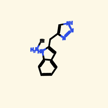 CCN.c1ccc2[nH]c(Cc3c[nH]nn3)cc2c1